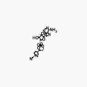 C[C@@]1(O)[C@H](O)[C@@H](CO[P@@]2(=O)OCC[C@@H](c3ccc(C#N)nc3)O2)O[C@H]1n1cnc2c(N)ncnc21